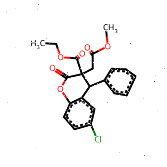 CCOC(=O)C1(CC(=O)OC)C(=O)Oc2ccc(Cl)cc2C1c1ccccc1